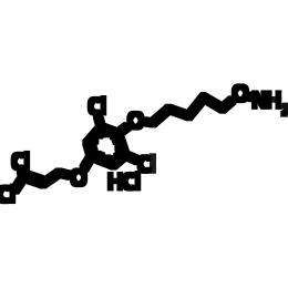 Cl.NOCCCCCOc1c(Cl)cc(OCC=C(Cl)Cl)cc1Cl